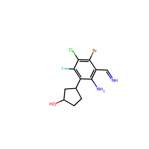 N=Cc1c(N)c(C2CCC(O)C2)c(F)c(Cl)c1Br